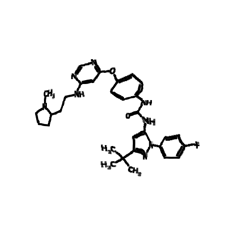 CN1CCCC1CCNc1cc(Oc2ccc(NC(=O)Nc3cc(C(C)(C)C)nn3-c3ccc(F)cc3)cc2)ncn1